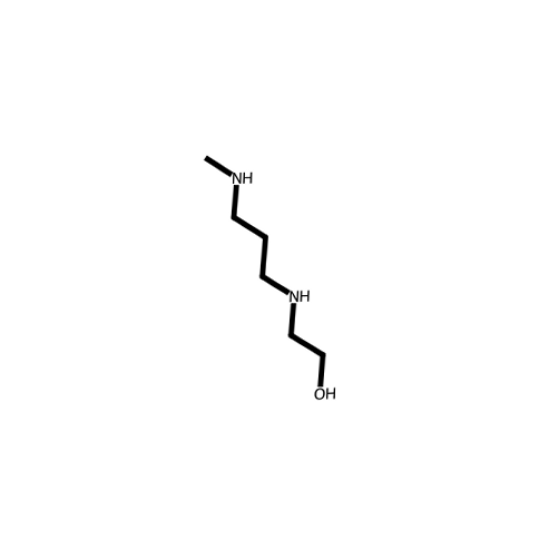 CNCCCNCCO